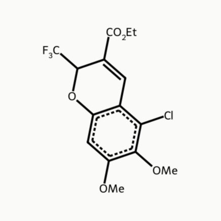 CCOC(=O)C1=Cc2c(cc(OC)c(OC)c2Cl)OC1C(F)(F)F